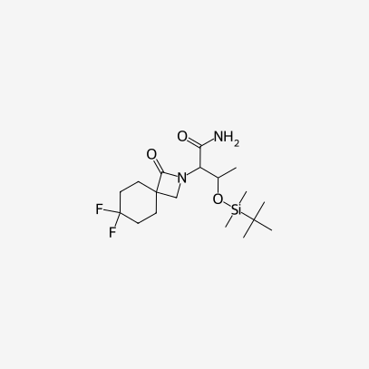 CC(O[Si](C)(C)C(C)(C)C)C(C(N)=O)N1CC2(CCC(F)(F)CC2)C1=O